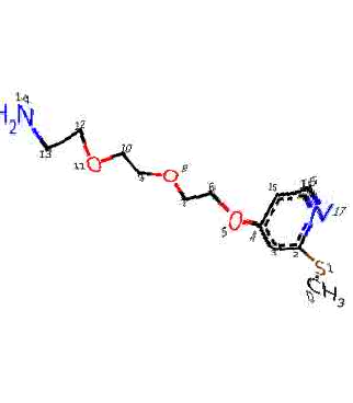 CSc1cc(OCCOCCOCCN)ccn1